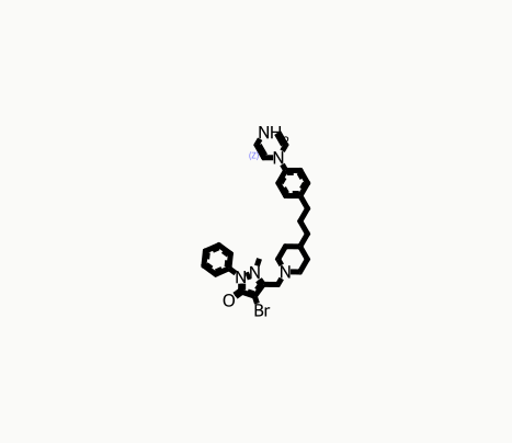 C=CN(/C=C\N)c1ccc(CCCC2CCN(Cc3c(Br)c(=O)n(-c4ccccc4)n3C)CC2)cc1